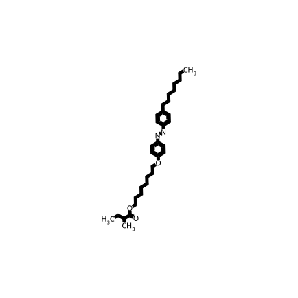 CCCCCCCCc1ccc(/N=N/c2ccc(OCCCCCCCCOC(=O)C(C)CC)cc2)cc1